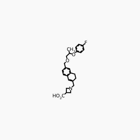 CC(COCc1ccc2c(c1)CCC(CN1CC(C(=O)O)C1)=C2)Oc1ccc(F)cc1